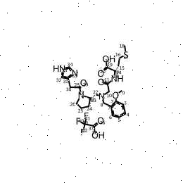 COc1ccccc1CN(CC(=O)N[C@@H](CCSC)C(=O)O)C[C@@H]1CCCN1C(=O)Cc1c[nH]cn1.O=C(O)C(F)(F)F